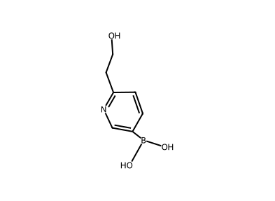 OCCc1ccc(B(O)O)cn1